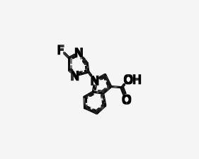 O=C(O)c1cn(-c2cnc(F)cn2)c2ccccc12